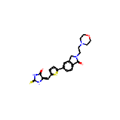 O=C1NC(=S)N/C1=C/c1ccc(-c2ccc3c(c2)CN(CCN2CCOCC2)C3=O)s1